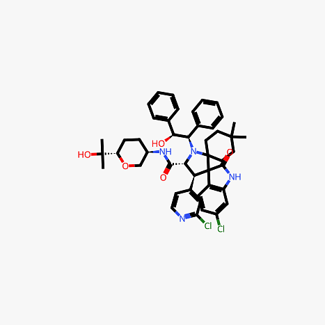 CC1(C)CCC2(CC1)N([C@H](c1ccccc1)[C@@H](O)c1ccccc1)[C@@H](C(=O)N[C@@H]1CC[C@@H](C(C)(C)O)OC1)[C@H](c1ccnc(Cl)c1)C21C(=O)Nc2cc(Cl)ccc21